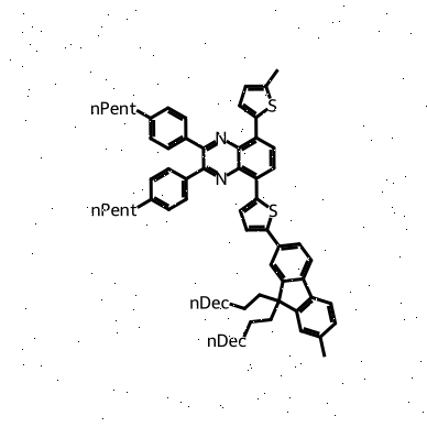 CCCCCCCCCCCCC1(CCCCCCCCCCCC)c2cc(C)ccc2-c2ccc(-c3ccc(-c4ccc(-c5ccc(C)s5)c5nc(-c6ccc(CCCCC)cc6)c(-c6ccc(CCCCC)cc6)nc45)s3)cc21